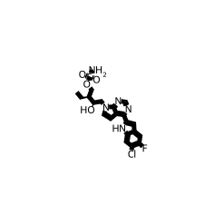 CC[C@@H](COS(N)(=O)=O)[C@@H](O)Cn1ccc2c(-c3cc4cc(F)c(Cl)cc4[nH]3)ncnc21